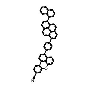 N#Cc1ccc2c(c1)Oc1cccc3c(-c4ccc(-c5ccc6ccc7c(-c8cccc9ccccc89)ccc8ccc5c6c87)cc4)ccc-2c13